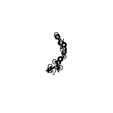 CC(C)(C)OC(=O)CC[C@@H](C(N)=O)N1Cc2cc(O[C@H]3CCN(Cc4ccc5nc(C6CCOCC6)ccc5c4F)C3)ccc2C1=O